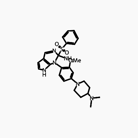 COc1cc(N2CCC(N(C)C)CC2)ccc1N1c2[nH]ccc2C=NC1(N)S(=O)(=O)c1ccccc1